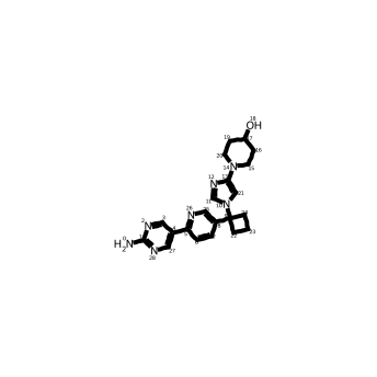 Nc1ncc(-c2ccc(C3(n4cnc(N5CCC(O)CC5)c4)CCC3)cn2)cn1